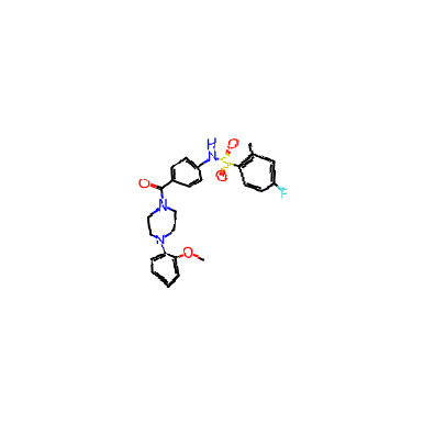 COc1ccccc1N1CCN(C(=O)c2ccc(NS(=O)(=O)c3ccc(F)cc3C)cc2)CC1